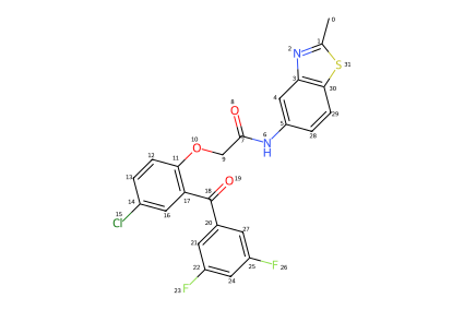 Cc1nc2cc(NC(=O)COc3ccc(Cl)cc3C(=O)c3cc(F)cc(F)c3)ccc2s1